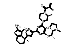 C=C(F)C(=O)N1[C@@H](C)CN(c2nc(-c3cc([C@@]4(C)CCCc5sc(N)c(C#N)c54)on3)nc(O[C@@H](C)[C@@H]3CCCN3C)c2Cl)C[C@@H]1C